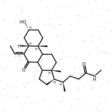 C/C=C1/C(=O)C2C3CC[C@H]([C@H](C)CCC(=O)NC)[C@@]3(C)CCC2[C@@]2(C)CC[C@@H](O)C[C@@H]12